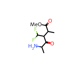 COC(=O)C(C)C(C(=O)C(C)N)C(F)F